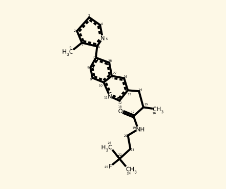 Cc1cccnc1-c1ccc2ncc(CC(C)C(=O)NCCC(C)(C)F)cc2c1